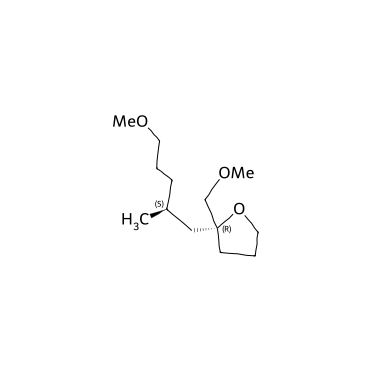 COCCC[C@H](C)C[C@@]1(COC)CCCO1